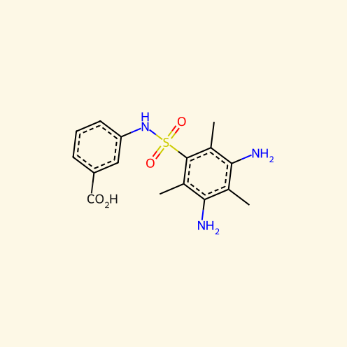 Cc1c(N)c(C)c(S(=O)(=O)Nc2cccc(C(=O)O)c2)c(C)c1N